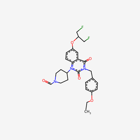 CCOc1ccc(Cn2c(=O)c3cc(OC(CF)CF)ccc3n(C3CCN(C=O)CC3)c2=O)cc1